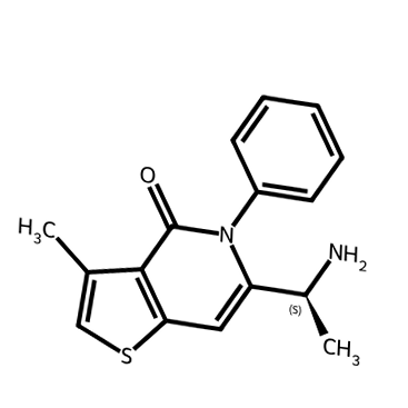 Cc1csc2cc([C@H](C)N)n(-c3ccccc3)c(=O)c12